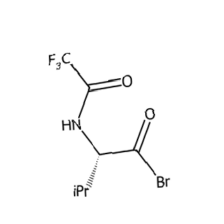 CC(C)[C@H](NC(=O)C(F)(F)F)C(=O)Br